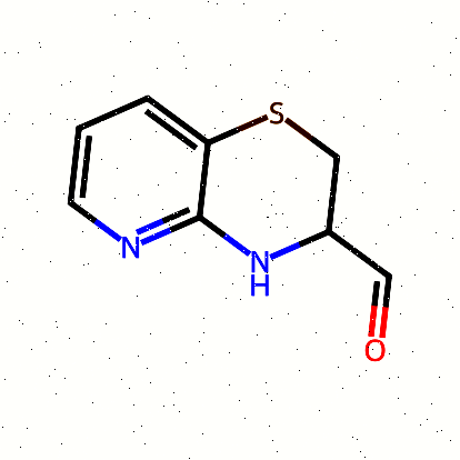 O=CC1CSc2cccnc2N1